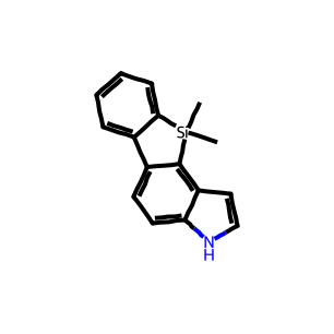 C[Si]1(C)c2ccccc2-c2ccc3[nH]ccc3c21